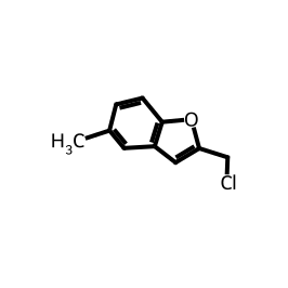 Cc1ccc2oc(CCl)cc2c1